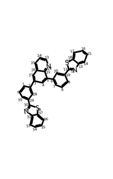 c1cc(-c2cc(-c3cccc(-c4nc5ccccc5s4)c3)c3ncccc3c2)cc(-c2nc3ccccc3s2)c1